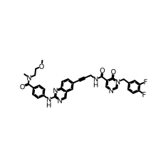 COCCN(C)C(=O)c1ccc(Nc2ncc3cc(C#CCNC(=O)c4cncn(Cc5ccc(F)c(F)c5)c4=O)ccc3n2)cc1